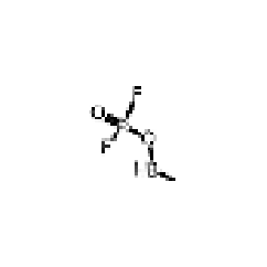 CBOP(=O)(F)F